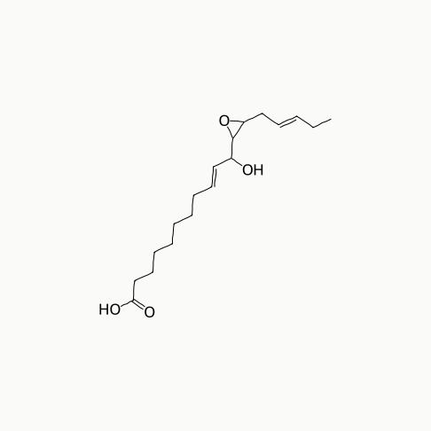 CCC=CCC1OC1C(O)C=CCCCCCCCC(=O)O